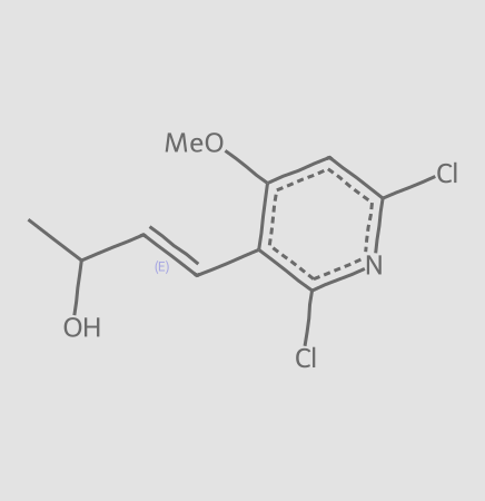 COc1cc(Cl)nc(Cl)c1/C=C/C(C)O